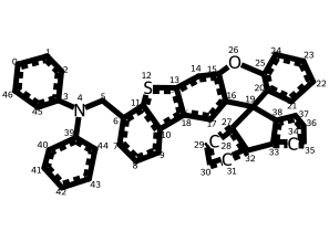 c1ccc(N(Cc2cccc3c2sc2cc4c(cc23)C2(c3ccccc3O4)c3ccccc3-c3ccccc32)c2ccccc2)cc1